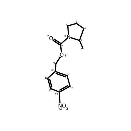 CC1CCCN1C(=O)OCc1ccc([N+](=O)[O-])cc1